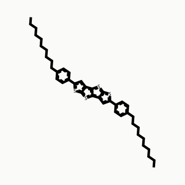 CCCCCCCCCCc1ccc(-c2cc3c(s2)sc2c4cc(-c5ccc(CCCCCCCCCC)cc5)sc4sc32)cc1